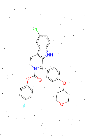 O=C(Oc1ccc(F)cc1)N1CCc2c([nH]c3ccc(Cl)cc23)[C@@H]1c1ccc(OC2CCOCC2)cc1